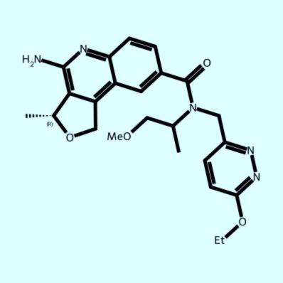 CCOc1ccc(CN(C(=O)c2ccc3nc(N)c4c(c3c2)CO[C@@H]4C)C(C)COC)nn1